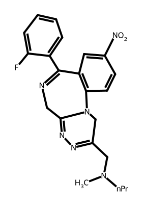 CCCN(C)CC1=NN=C2CN=C(c3ccccc3F)c3cc([N+](=O)[O-])ccc3N2C1